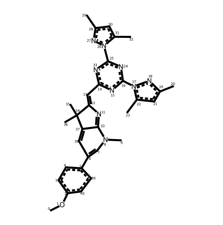 COc1ccc(C2=CN(C)C3=N/C(=C\c4nc(-n5nc(C)cc5C)nc(-n5nc(C)cc5C)n4)C(C)(C)C3=C2)cc1